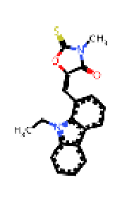 CCn1c2ccccc2c2cccc(/C=C3/OC(=S)N(C)C3=O)c21